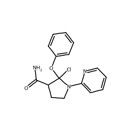 NC(=O)C1CCN(c2ccccn2)C1(Cl)Oc1ccccc1